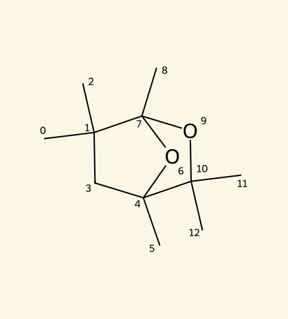 CC1(C)CC2(C)OC1(C)OC2(C)C